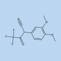 COc1ccc(C(C#N)C(=O)C(F)(F)F)cc1OC